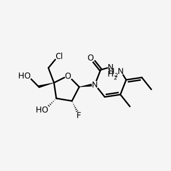 C/C=C(N)\C(C)=C/N(C(N)=O)[C@@H]1O[C@@](CO)(CCl)[C@@H](O)[C@H]1F